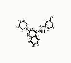 Cc1cccc(CNc2nc(N3CCCCC3)nc3ccccc23)c1